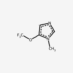 Cn1cn[c]c1OC(F)(F)F